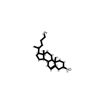 CC(C)CCCC(C)C1CCC2C3CC=C4CC(N=O)CCC4(C)C3CCC12C